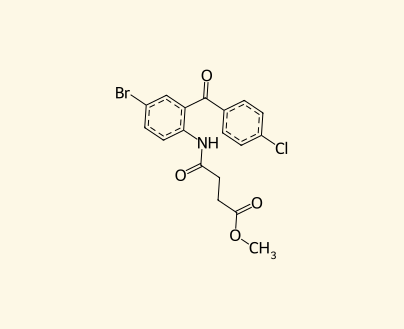 COC(=O)CCC(=O)Nc1ccc(Br)cc1C(=O)c1ccc(Cl)cc1